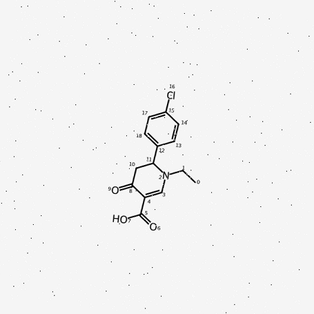 CCN1C=C(C(=O)O)C(=O)CC1c1ccc(Cl)cc1